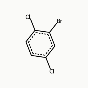 Clc1ccc(Cl)c(Br)c1